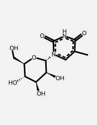 Cc1cn([C@H]2O[C@H](CO)[C@@H](O)[C@H](O)[C@@H]2O)c(=O)[nH]c1=O